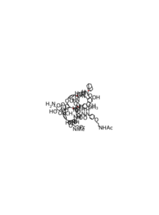 CN[C@H](CC(C)C)C(=O)N[C@H]1C(=O)N[C@@H](CC(=O)NC(=O)Nc2ccc(OCCCNC(C)=O)cc2)C(=O)N[C@H]2C(=O)N[C@H]3C(=O)N[C@H](C(=O)N[C@H](C(=O)NC4C5CC6CC(C5)CC4C6)c4cc(O)cc(C)c4-c4cc3ccc4O)[C@H](O)c3ccc(c(Cl)c3)Oc3cc2cc(c3O[C@@H]2O[C@H](CN)[C@@H](O)[C@H](O)[C@H]2O)Oc2ccc(cc2C)[C@H]1O